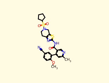 COc1ccc(C#N)cc1-c1cc(C)ncc1C(=O)Nc1nc2c(s1)CN(S(=O)(=O)C1CCCC1)CC2